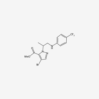 COC(=O)c1c(Br)cnn1C(C)CNc1ccc(C(F)(F)F)cc1